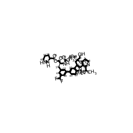 CCn1c(-c2cccnc2[C@H](C)OC)c(CC(C)(C)CO)c2cc(-c3cc(C[C@H](NC(=O)OC(C)(C)C)C(=O)OC(=O)C4CCCNN4)cc(C(F)F)c3)ccc21